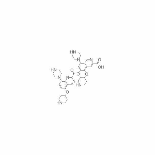 O=C(O)c1cc2c(OC3CCNCC3)c(OC(=O)c3ncc4c(OC5CCNCC5)ccc(N5CCNCC5)c4n3)cc(N3CCNCC3)c2cn1